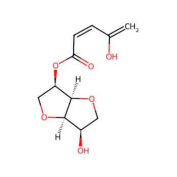 C=C(O)/C=C\C(=O)O[C@@H]1CO[C@H]2[C@@H]1OC[C@H]2O